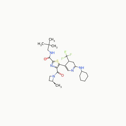 C[C@H]1CCN1C(=O)c1nc(C(=O)NCC(C)(C)C)sc1C1=CN=C(NC2CCCCC2)CC1C(F)(F)F